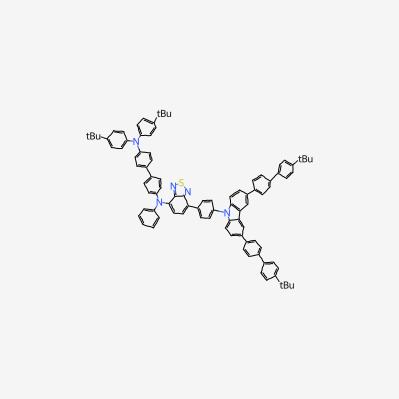 CC(C)(C)c1ccc(-c2ccc(-c3ccc4c(c3)c3cc(-c5ccc(-c6ccc(C(C)(C)C)cc6)cc5)ccc3n4-c3ccc(-c4ccc(N(c5ccccc5)c5ccc(-c6ccc(N(c7ccc(C(C)(C)C)cc7)c7ccc(C(C)(C)C)cc7)cc6)cc5)c5nsnc45)cc3)cc2)cc1